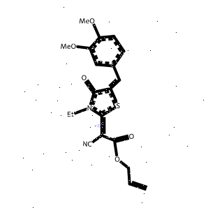 C=CCOC(=O)/C(C#N)=c1\sc(=Cc2ccc(OC)c(OC)c2)c(=O)n1CC